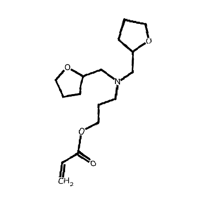 C=CC(=O)OCCCN(CC1CCCO1)CC1CCCO1